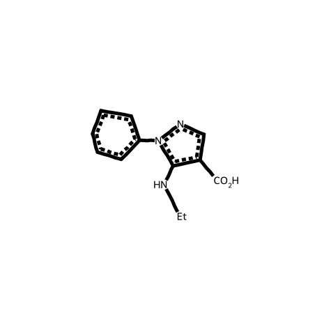 CCNc1c(C(=O)O)cnn1-c1ccccc1